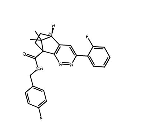 CC1(C)[C@@H]2CCC1(C(=O)NCc1ccc(F)cc1)c1nnc(-c3ccccc3F)cc12